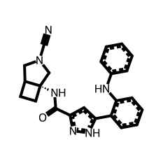 N#CN1CC2CC[C@]2(NC(=O)c2cc(-c3ccccc3Nc3ccccc3)[nH]n2)C1